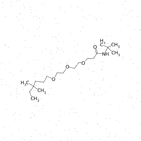 CCC(C)(C)CCCOCCOCCOCCC(=O)NC(C)(C)C